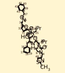 Cc1nc(CN2CCN([C@H](C(=O)N[C@@H](Cc3ccccc3)[C@H](O)CN(CC(C)C)S(=O)(=O)c3ccc(C=NOCc4ccccc4)o3)C(C)C)C2=O)cs1